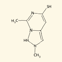 CC1=NC(S)=CC2=CN(C)NN21